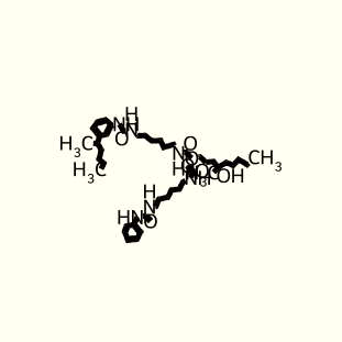 CCCCCC(C)(O)CC(COC(=O)NCCCCCCNC(=O)Nc1cccc(C(C)CCCC)c1)OC(=O)NCCCCCCNC(=O)Nc1ccccc1